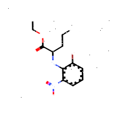 CCCC(Nc1c(Br)cccc1[N+](=O)[O-])C(=O)OCC